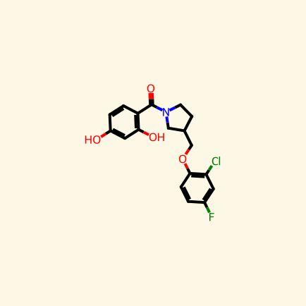 O=C(c1ccc(O)cc1O)N1CCC(COc2ccc(F)cc2Cl)C1